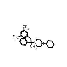 [CH2]C(Cc1cc(C(F)(F)F)cc(C(F)(F)F)c1)(c1ccccc1)N1CCN(C2CCCCC2)CC1